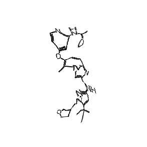 CC(=O)Nc1cc(Oc2ccc3nc(Nc4cc(C(C)(C)C)n([C@H]5CCOC5)n4)cn3c2C)ccn1